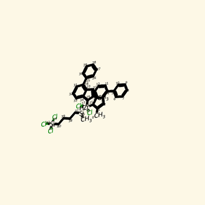 CC1=Cc2c(-c3ccccc3)cccc2[CH]1[Zr]([Cl])([Cl])([CH]1C(C)=Cc2c(-c3ccccc3)cccc21)[SiH](C)CCCC[Si](Cl)(Cl)Cl